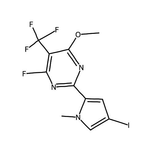 COc1nc(-c2cc(I)cn2C)nc(F)c1C(F)(F)F